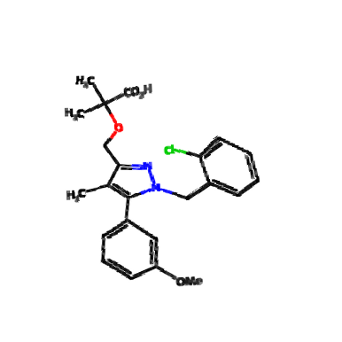 COc1cccc(-c2c(C)c(COC(C)(C)C(=O)O)nn2Cc2ccccc2Cl)c1